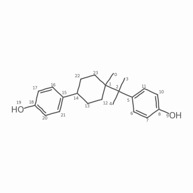 CC1(C(C)(C)c2ccc(O)cc2)CCC(c2ccc(O)cc2)CC1